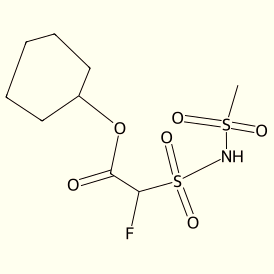 CS(=O)(=O)NS(=O)(=O)C(F)C(=O)OC1CCCCC1